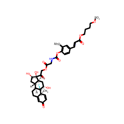 COc1cc(/C=C/C(=O)OCCCCO[N+](=O)[O-])ccc1OC(=O)NCC(=O)OCC(=O)[C@@]1(O)[C@H](O)C[C@H]2[C@@H]3CCC4=CC(=O)C=C[C@]4(C)[C@@]3(F)[C@@H](O)C[C@@]21C